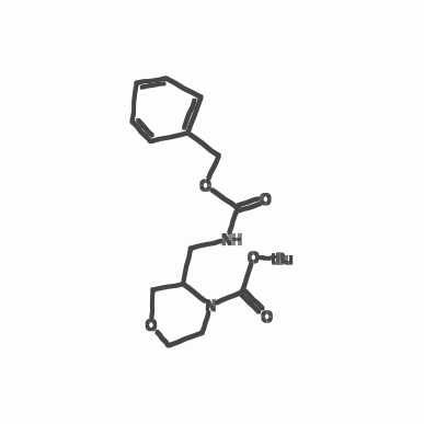 CC(C)(C)OC(=O)N1CCOCC1CNC(=O)OCc1ccccc1